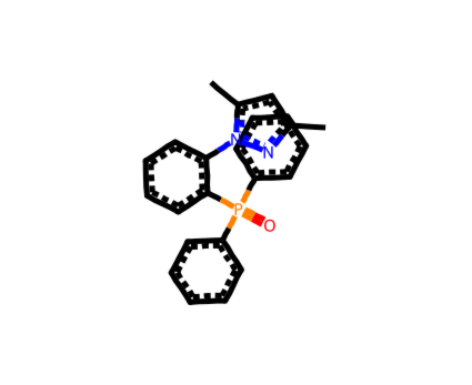 Cc1cc(C)n(-c2ccccc2P(=O)(c2ccccc2)c2ccccc2)n1